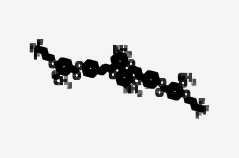 COc1cc(C(=O)Oc2ccc(/C=C/C(=O)c3cc(N)ccc3-c3ccc(N)c(C)c3C(=O)/C=C/c3ccc(OC(=O)c4ccc(OCCCC(F)(F)F)c(OC)c4)cc3)cc2)ccc1OCCCC(F)(F)F